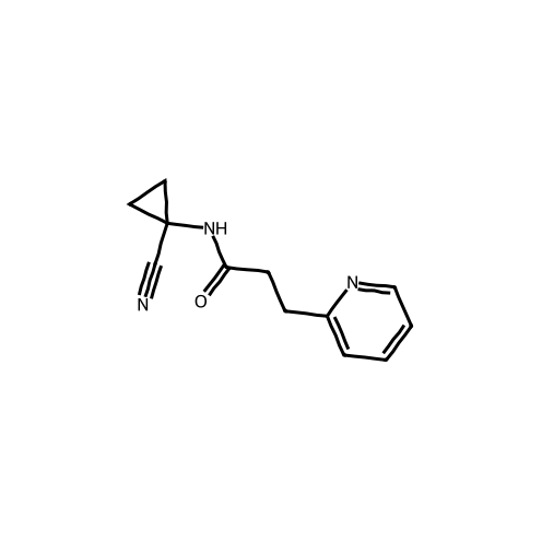 N#CC1(NC(=O)CCc2ccccn2)CC1